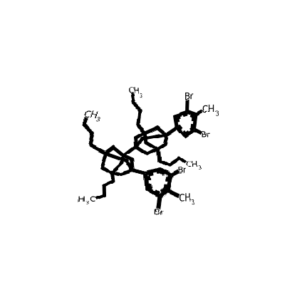 CCCCC12CC3(CCCC)CC(c4cc(Br)c(C)c(Br)c4)(C1)CC(C14CC5(CCCC)CC(CCCC)(CC(c6cc(Br)c(C)c(Br)c6)(C5)C1)C4)(C2)C3